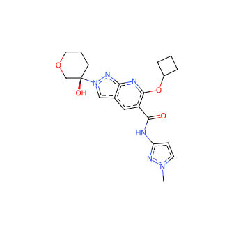 Cn1ccc(NC(=O)c2cc3cn([C@@]4(O)CCCOC4)nc3nc2OC2CCC2)n1